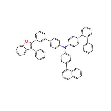 c1ccc(-c2ccccc2-c2ccc(N(c3ccc(-c4cccc(-c5oc6ccccc6c5-c5ccccc5)c4)cc3)c3ccc(-c4cccc5ccccc45)cc3)cc2)cc1